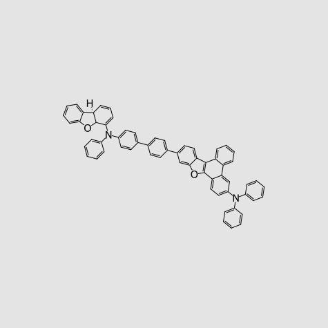 C1=C[C@@H]2c3ccccc3OC2C(N(c2ccccc2)c2ccc(-c3ccc(-c4ccc5c(c4)oc4c6ccc(N(c7ccccc7)c7ccccc7)cc6c6ccccc6c54)cc3)cc2)=C1